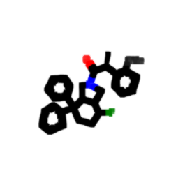 COc1ccccc1[C@H](C)C(=O)N1CC2C(F)CCC(c3ccccc3)(c3ccccc3)C2C1